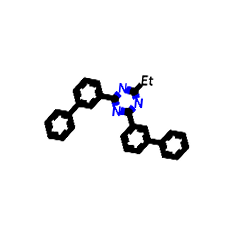 CCc1nc(-c2cccc(-c3ccccc3)c2)nc(-c2cccc(-c3ccccc3)c2)n1